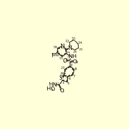 O=C(NO)c1cc2ccc(S(=O)(=O)Nc3cc(F)cnc3N3CCCCC3)cc2s1